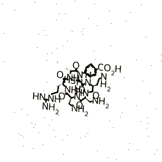 C[C@@H](NC(=O)[C@@H](CCCNC(=N)N)NC(=O)[C@H](CN)NC(=O)[C@H](CN)NC(=O)[C@H](CCN)NC(=O)CS)C(=O)Nc1ccc(C(=O)O)cc1